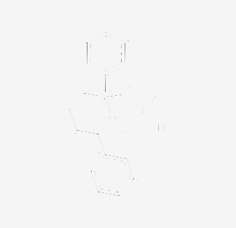 C[Si](C)(C)O[Si]1(c2ccccc2)CCCC(c2ccccc2)O1